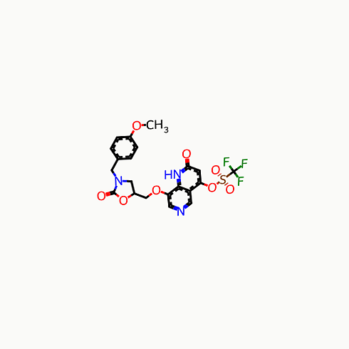 COc1ccc(CN2CC(COc3cncc4c(OS(=O)(=O)C(F)(F)F)cc(=O)[nH]c34)OC2=O)cc1